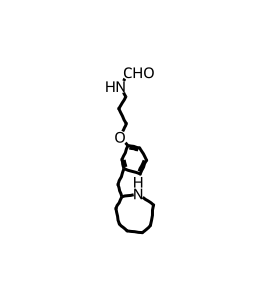 O=CNCCCOc1cccc(CC2CCCCCCN2)c1